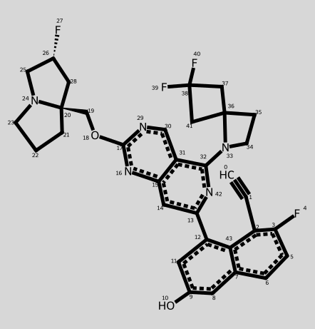 C#Cc1c(F)ccc2cc(O)cc(-c3cc4nc(OC[C@@]56CCCN5C[C@H](F)C6)ncc4c(N4CCC45CC(F)(F)C5)n3)c12